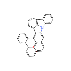 c1ccc(-c2ccccc2-c2c3ccccc3cc3c2c2cccc4c5ccccc5n3c42)cc1